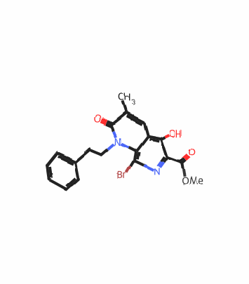 COC(=O)c1nc(Br)c2c(cc(C)c(=O)n2CCc2ccccc2)c1O